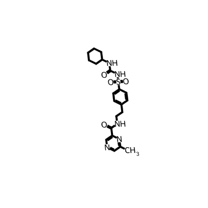 Cc1cncc(C(=O)NCCc2ccc(S(=O)(=O)NC(=O)NC3CCCCC3)cc2)n1